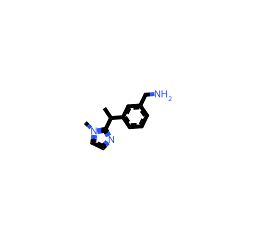 CC(c1cccc(CN)c1)c1nccn1C